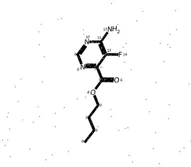 CCCCOC(=O)c1ncnc(N)c1F